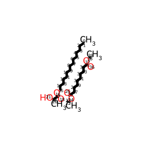 CCCCCCCCCCCCCCCCOC(=O)C(C)O.CCOC(=O)CCCCCCCCC(=O)OCC